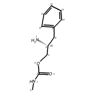 CNC(=O)OC[C@H](N)Cc1ccccc1